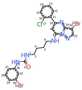 O=C(NCCCCNc1cc(-c2ccccc2Cl)nc2c(Br)cnn12)Nc1cccc(Br)c1